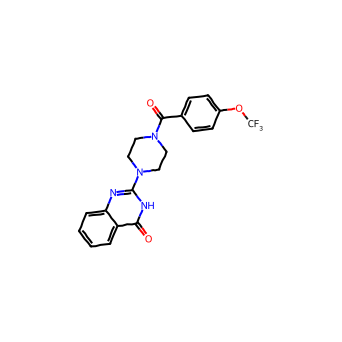 O=C(c1ccc(OC(F)(F)F)cc1)N1CCN(c2nc3ccccc3c(=O)[nH]2)CC1